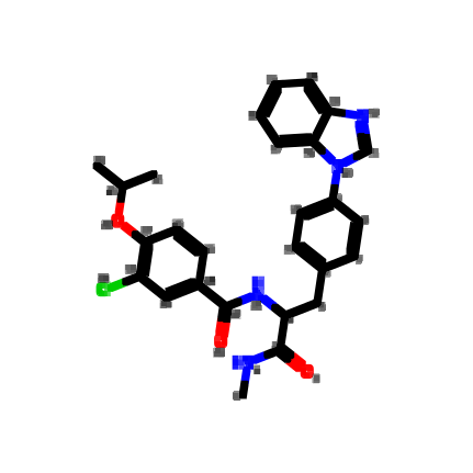 CNC(=O)C(Cc1ccc(-n2cnc3ccccc32)cc1)NC(=O)c1ccc(OC(C)C)c(Cl)c1